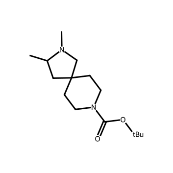 CC1CC2(CCN(C(=O)OC(C)(C)C)CC2)CN1C